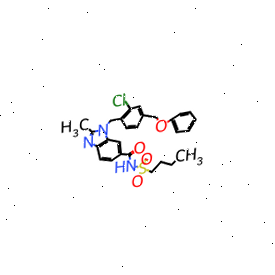 CCCCS(=O)(=O)NC(=O)c1ccc2nc(C)n(Cc3ccc(COc4ccccc4)cc3Cl)c2c1